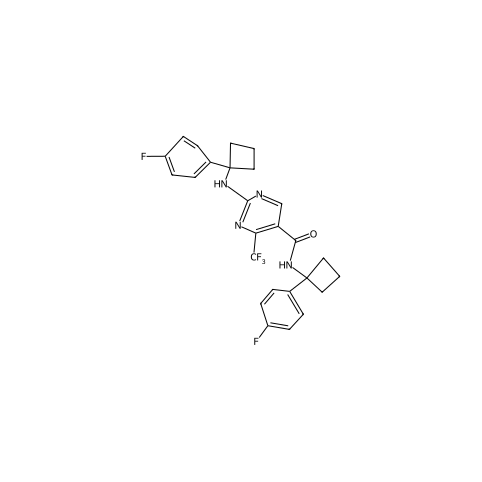 O=C(NC1(c2ccc(F)cc2)CCC1)c1cnc(NC2(c3ccc(F)cc3)CCC2)nc1C(F)(F)F